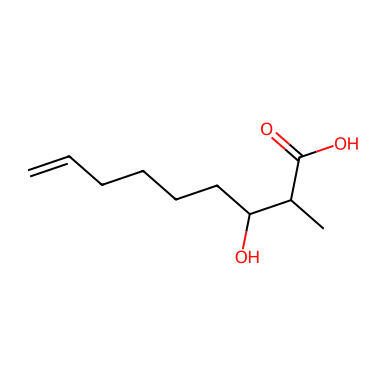 C=CCCCCC(O)C(C)C(=O)O